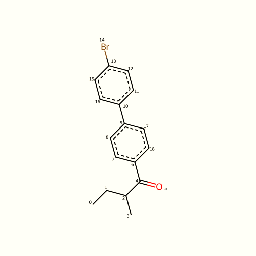 CCC(C)C(=O)c1ccc(-c2ccc(Br)cc2)cc1